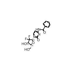 O=C(Nc1ccn([C@@H]2O[C@H](CO)[C@@H](O)C2(F)F)c(=O)n1)c1ccccc1